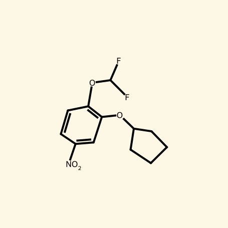 O=[N+]([O-])c1ccc(OC(F)F)c(OC2CCCC2)c1